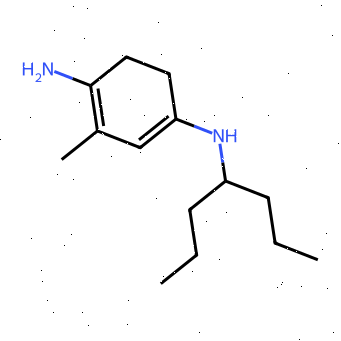 CCCC(CCC)NC1=CC(C)=C(N)CC1